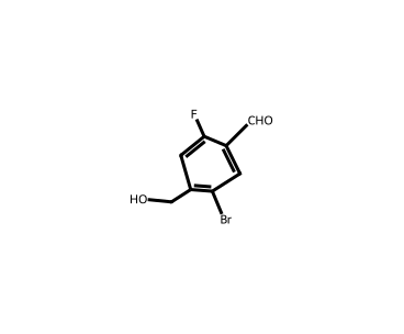 O=Cc1cc(Br)c(CO)cc1F